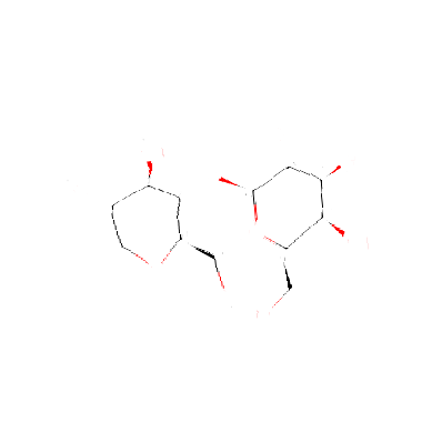 OC[C@H]1O[C@@H](O[C@H]2[C@H](O)[C@@H](O)CO[C@@H]2CO)[C@H](O)[C@@H](O)[C@H]1O